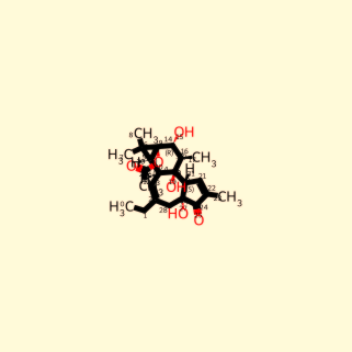 CCC1=C[C@H]2[C@H]3C(C)(C)[C@]3(OC(C)=O)[C@H](O)[C@@H](C)[C@]2(O)[C@@H]2C=C(C)C(=O)[C@@]2(O)C1